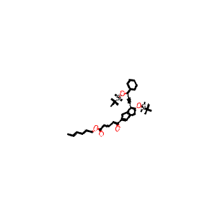 CCCCCCOC(=O)CCCC(=O)C1=CC2C[C@@H](O[Si](C)(C)C(C)(C)C)[C@H](C#C[C@@H](O[Si](C)(C)C(C)(C)C)C3CCCCC3)C2C1